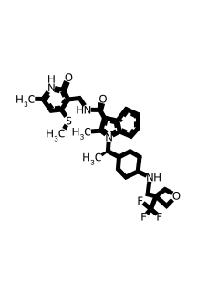 CSc1cc(C)[nH]c(=O)c1CNC(=O)c1c(C)n([C@H](C)C2CCC(NCC3(C(F)(F)F)COC3)CC2)c2ccccc12